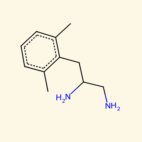 Cc1cccc(C)c1CC(N)CN